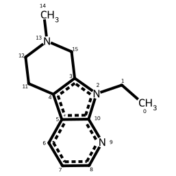 CCn1c2c(c3cccnc31)CCN(C)C2